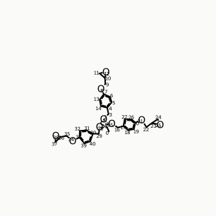 C[Si](OCc1ccc(OCC2CO2)cc1)(OCc1ccc(OCC2CO2)cc1)OCc1ccc(OCC2CO2)cc1